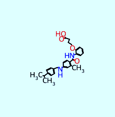 Cc1cc(NCc2ccc(C(C)C)cc2)ccc1C(=O)Nc1ccccc1OCCCC(=O)O